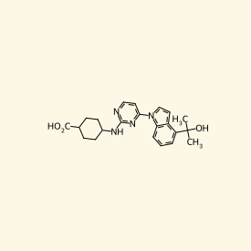 CC(C)(O)c1cccc2c1ccn2-c1ccnc(NC2CCC(C(=O)O)CC2)n1